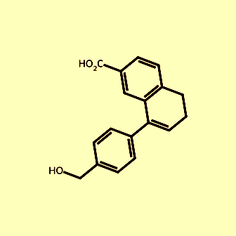 O=C(O)c1ccc2c(c1)C(c1ccc(CO)cc1)=CCC2